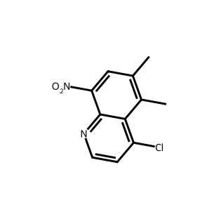 Cc1cc([N+](=O)[O-])c2nccc(Cl)c2c1C